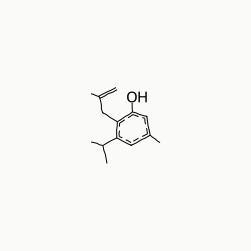 C=C(C)Cc1c(O)cc(C)cc1C(C)C